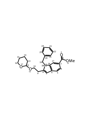 COC(=O)c1ccc2cc(CCOC3CCCCO3)n(Cc3ccccc3)c2c1